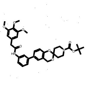 COc1cc(CC(=O)Nc2cccc(-c3ccc4c(c3)COC3(CCN(C(=O)OC(C)(C)C)CC3)O4)c2)cc(OC)c1OC